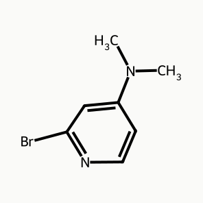 CN(C)c1ccnc(Br)c1